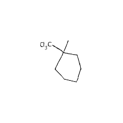 CC1(C(Cl)(Cl)Cl)CCCCC1